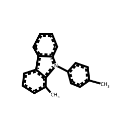 Cc1ccc(-n2c3ccccc3c3cccc(C)c32)cc1